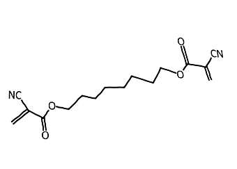 C=C(C#N)C(=O)OCCCCCCCCOC(=O)C(=C)C#N